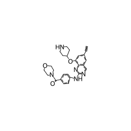 C#Cc1cc(OC2CCNCC2)c2nc(Nc3ccc(C(=O)N4CCOCC4)cc3)ncc2c1